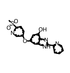 CS(=O)(=O)c1ccc(Oc2cc(O)c3nc(-c4ccccn4)[nH]c3c2)cn1